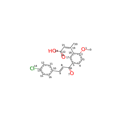 COc1ccc(C(=O)/C=C/c2ccc(Cl)cc2)cc1/C(C)=C\C(=O)O